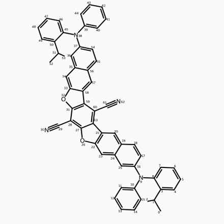 CC(C)c1ccccc1N(c1ccccc1)c1ccc2cc3c(cc2c1)oc1c(C#N)c2oc4cc5cc(N(c6ccccc6)c6ccccc6C(C)C)ccc5cc4c2c(C#N)c13